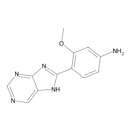 COc1cc(N)ccc1-c1nc2ncncc2[nH]1